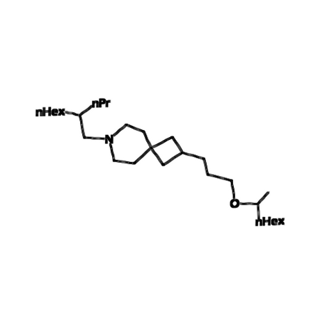 CCCCCCC(CCC)CN1CCC2(CC1)CC(CCCOC(C)CCCCCC)C2